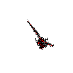 CC#CC#CC#CC#CC#CC#CC#CC#CC#CC#CC#CC#CC(=O)N[C@@H](CO[C@H]1OC(COP(=O)(Oc2ccccc2)Oc2ccccc2)[C@H](C)[C@H](C)C1C)[C@H](O)[C@H](O)C=CCCCCCCCCCCCC